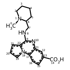 CN1CCCCC1CNc1nc2cc(C(=O)O)ccc2n2cccc12